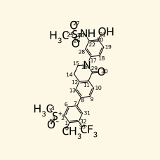 Cc1c([S+](C)[O-])cc(-c2ccc3c(c2)CCN(c2ccc(O)c(NS(C)(=O)=O)c2)C3=O)cc1C(F)(F)F